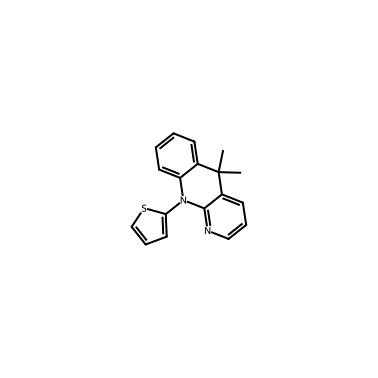 CC1(C)c2ccccc2N(c2cccs2)c2ncccc21